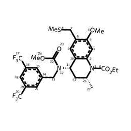 CCOC(=O)N1c2cc(OC)c(CSC)cc2[C@@H](N(Cc2cc(C(F)(F)F)cc(C(F)(F)F)c2)C(=O)OC)C[C@H]1C